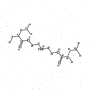 CCC(CC(C)C)C(=O)OCCNCCOC(=O)C(C)CC(C)C